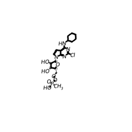 CP(=O)(O)OOC[C@H]1O[C@@H](n2ccc3c(NC4CCCCC4)nc(Cl)nc32)[C@H](O)[C@@H]1O